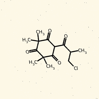 CC(CCl)C(=O)C1C(=O)C(C)(C)C(=O)C(C)(C)C1=O